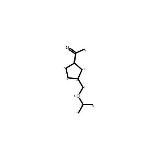 CC(=O)C1CCC(COC(C)C)C1